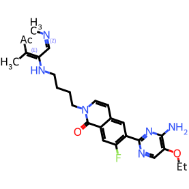 CCOc1cnc(-c2cc3ccn(CCCCNC(/C=N\C)=C(\C)C(C)=O)c(=O)c3cc2F)nc1N